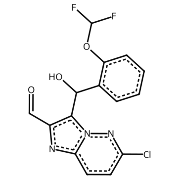 O=Cc1nc2ccc(Cl)nn2c1C(O)c1ccccc1OC(F)F